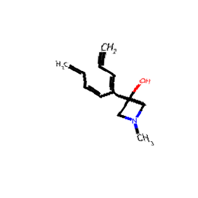 C=C/C=C\C(=C/C=C)C1(O)CN(C)C1